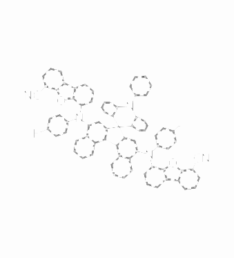 N#Cc1cccc2c1oc1c(N(c3ccc(F)cc3)c3cc4c(c5ccccc35)-c3c(cc(N(c5ccc(F)cc5)c5cccc6c5oc5c(C#N)cccc56)c5ccccc35)C43c4ccccc4N(c4ccccc4)c4ccccc43)cccc12